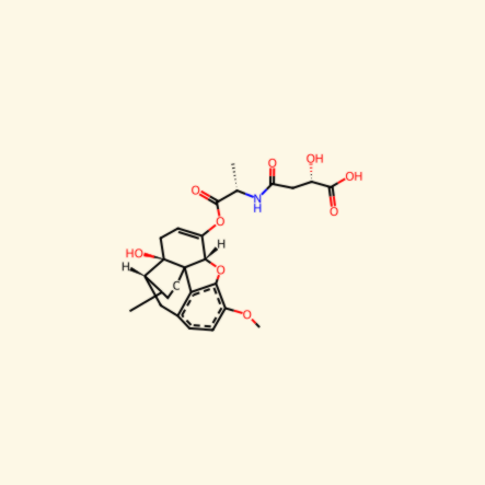 COc1ccc2c3c1O[C@H]1C(OC(=O)[C@H](C)NC(=O)C[C@H](O)C(=O)O)=CC[C@@]4(O)[C@@H](C2)C(C)CCC314